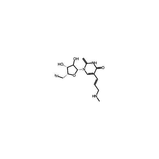 [2H]C[C@H]1O[C@@H](N2C=C(/C=C/CNC)C(=O)NC2=C)C(O)[C@H]1O